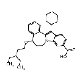 CCN(CC)CCOC1CCn2c(c(C3CCCCC3)c3ccc(C(=O)O)cc32)-c2ccccc21